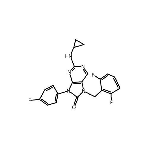 O=c1n(Cc2c(F)cccc2F)c2cnc(NC3CC3)nc2n1-c1ccc(F)cc1